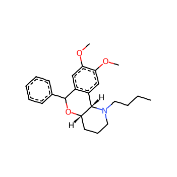 CCCCN1CCC[C@@H]2OC(c3ccccc3)c3cc(OC)c(OC)cc3[C@@H]21